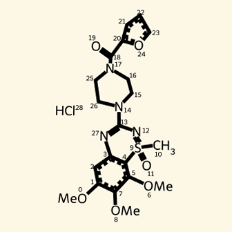 COc1cc2c(c(OC)c1OC)S(C)(=O)=NC(N1CCN(C(=O)c3ccco3)CC1)=N2.Cl